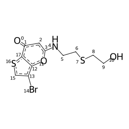 O=c1cc(NCCSCCO)oc2c(Br)csc12